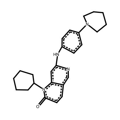 O=c1ccc2cnc(Nc3ccc(N4CCCCC4)cc3)cc2n1C1CCCCC1